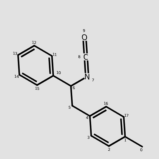 Cc1ccc(CC(N=C=O)c2ccccc2)cc1